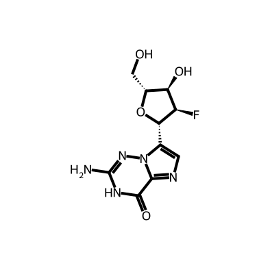 Nc1nn2c([C@@H]3O[C@H](CO)[C@@H](O)[C@H]3F)cnc2c(=O)[nH]1